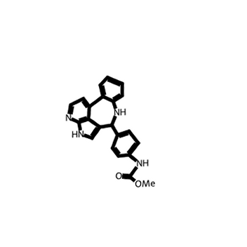 COC(=O)Nc1ccc(C2Nc3ccccc3-c3ccnc4[nH]cc2c34)cc1